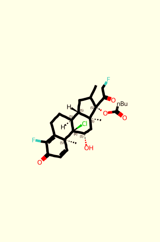 CCCCC(=O)O[C@@]1(C(=O)CF)C(C)C[C@H]2[C@@H]3CCC4=C(F)C(=O)C=C[C@]4(C)[C@@]3(Cl)[C@@H](O)C[C@@]21C